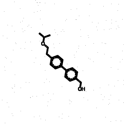 CC(C)OCCc1ccc(-c2ccc(CO)cc2)cc1